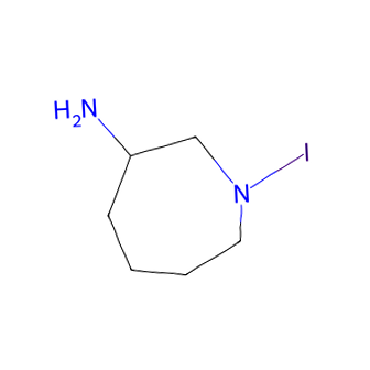 NC1CCCCN(I)C1